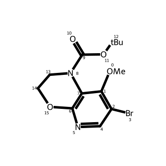 COc1c(Br)cnc2c1N(C(=O)OC(C)(C)C)CCO2